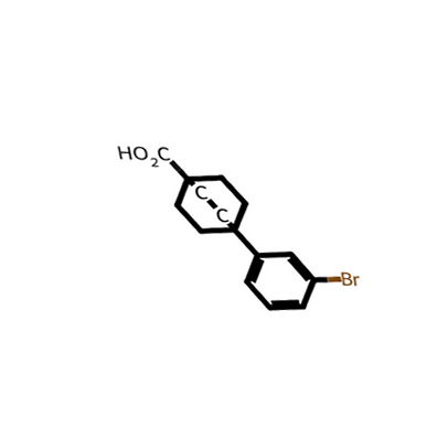 O=C(O)C12CCC(c3cccc(Br)c3)(CC1)CC2